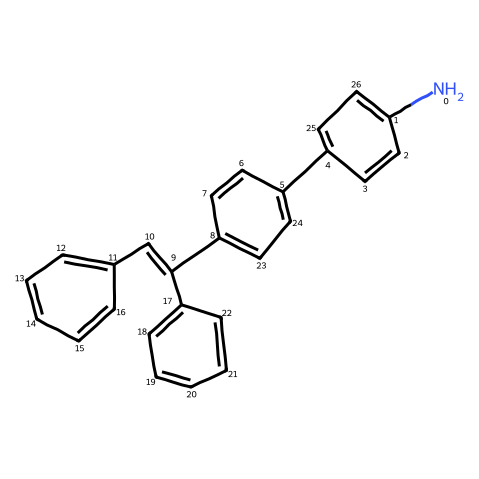 Nc1ccc(-c2ccc(/C(=C/c3ccccc3)c3ccccc3)cc2)cc1